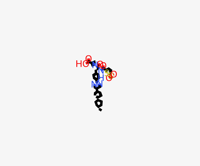 C=C(/C=C\C(=C/C)c1cnc(-c2ccc(C[C@H](NC(=O)c3ccc(S(C)(=O)=O)s3)C(=O)N3CC(C(=O)O)C3)cc2)nc1)[C@H]1CC[C@H](CC)CC1